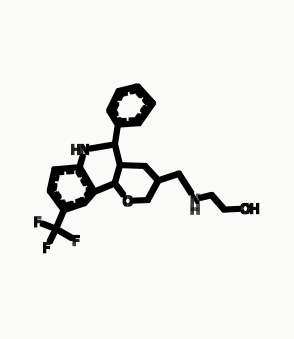 OCCNCC1COC2c3cc(C(F)(F)F)ccc3NC(c3ccccc3)C2C1